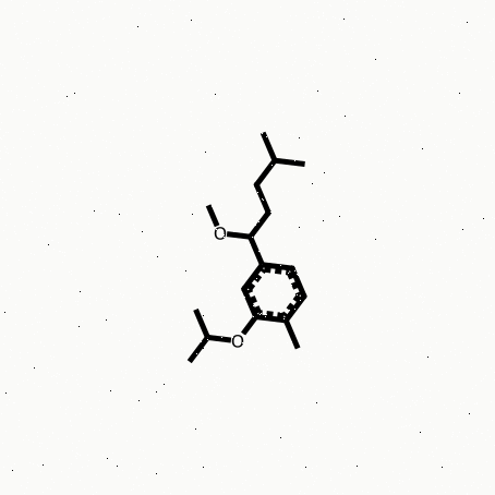 COC(CCC(C)C)c1ccc(C)c(OC(C)C)c1